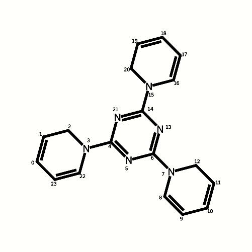 C1=CCN(c2nc(N3C=CC=CC3)nc(N3C=CC=CC3)n2)C=C1